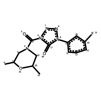 CC1CN(C(=O)n2nnn(-c3cccc(F)c3)c2=O)CC(C)O1